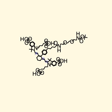 CC(C)(C)OC(=O)NCCOCCOCCNC(=O)CCCCc1ccc(C2=C(/C=C/C3=[N+](CCCCS(=O)(=O)O)c4ccc(S(=O)(=O)O)cc4C3(C)C)CCC/C2=C\C=C2\N(CCCCS(=O)(=O)O)c3ccc(S(=O)(=O)O)cc3C2(C)C)cc1